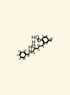 OOc1ccc(F)cc1CCC[C@@H](O)CNCc1ccccc1